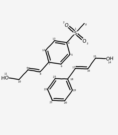 CS(=O)(=O)c1ccc(/C=C/CO)cc1.OCC=Cc1ccccc1